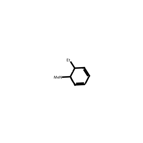 CCC1C=CC=CC1NC